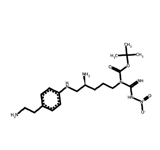 CC(C)(C)OC(=O)N(CCC[C@H](N)CNc1ccc(CCN)cc1)C(=N)N[N+](=O)[O-]